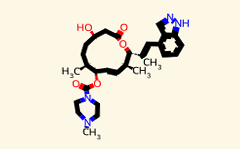 C/C(=C\c1cccc2[nH]ncc12)[C@H]1OC(=O)C[C@H](O)CC[C@H](C)[C@H](OC(=O)N2CCN(C)CC2)/C=C/[C@@H]1C